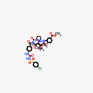 COC(=O)c1ccc2oc(C(=O)[C@H](C(C)C)N3CCC[C@H]3C(=O)N(C(=O)c3ccc(NC(=O)NS(=O)(=O)c4ccc(Cl)cc4)cc3)C(=O)[C@@H](N)C(C)C)nc2c1